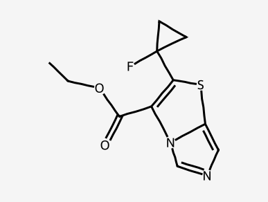 CCOC(=O)c1c(C2(F)CC2)sc2cncn12